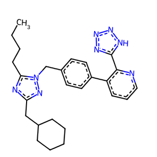 CCCCc1nc(CC2CCCCC2)nn1Cc1ccc(-c2cccnc2-c2nnn[nH]2)cc1